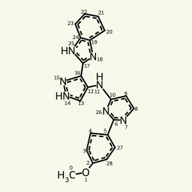 COc1ccc(-c2nccc(Nc3c[nH]nc3-c3nc4ccccc4[nH]3)n2)cc1